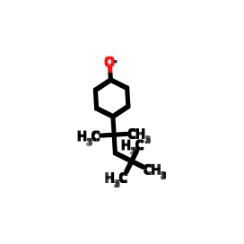 CC(C)(C)CC(C)(C)C1CCC([O])CC1